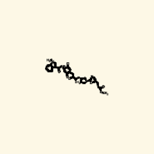 COC(=O)CCc1cnc(N2CC[C@H](OC(C)C(=O)Cc3cc(Cl)c(NC(=O)c4cn(C)c5ccccc45)cc3Cl)C2)o1